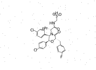 CCC[C@H](C(=O)NC[SH](=O)=O)N1C(=O)[C@H](Cc2ccc(F)cc2)O[C@@H](c2ccc(Cl)cc2)[C@H]1c1ccc(Cl)cc1